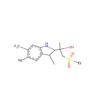 CCS(=O)(=O)CC(C)(O)C1Nc2cc(C(F)(F)F)c(C#N)cc2C1C